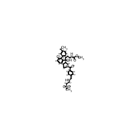 CCc1cccc(-c2c(Cl)cccc2C(O)(CCCNC(=O)OC)[C@@H]2CCCN(C(=O)c3ccc(CNCCS(C)(=O)=O)cc3)C2)c1